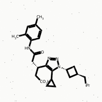 Cc1ccc(NC(=O)C[C@@H](CC(=O)O)c2nnn([C@H]3C[C@H](CC(C)C)C3)c2C2CC2)c(C)c1